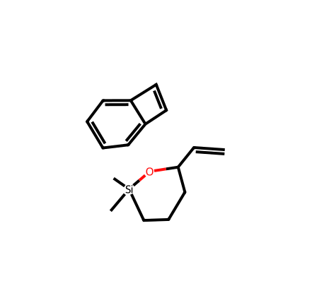 C1=Cc2ccccc21.C=CC1CCC[Si](C)(C)O1